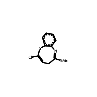 CSC1=Nc2ccccc2SC(Cl)=CC1